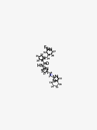 O=C(Nc1nc(/C=C/c2ncc3n2CCCC3)cs1)c1cccn1Cc1ccnc(F)c1